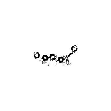 COc1cc(Nc2nccc(-c3ccc(OC4CCOCC4)c(N)c3)n2)ccc1[S+]([O-])NCCCN1CCOCC1